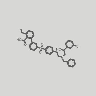 CCc1cccc(-c2cccc(S(=O)(=O)c3ccc(CCN(Cc4ccccc4)CC(O)c4cccc(Cl)c4)cc3)c2)c1C(=O)O